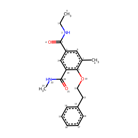 CCNC(=O)c1cc(C)c(OCCc2ccccc2)c(C(=O)NC)c1